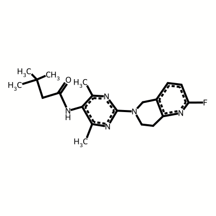 Cc1nc(N2CCc3nc(F)ccc3C2)nc(C)c1NC(=O)CC(C)(C)C